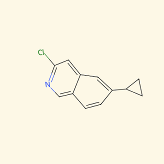 Clc1cc2cc(C3CC3)ccc2cn1